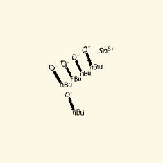 CCCC[O-].CCCC[O-].CCCC[O-].CCCC[O-].CCCC[O-].[Sn+5]